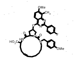 COc1ccc(CN2CCCCCC=CCCC(C(=O)O)NC(=O)C3CC(Oc4nc(-c5ccc(F)cc5)nc5c(C)c(OC)ccc45)C[N+]3C2=O)cc1